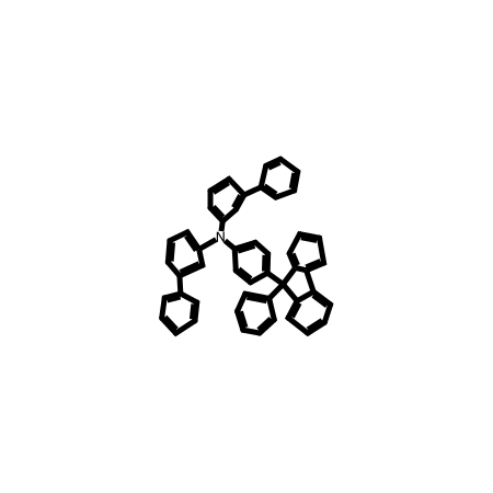 c1ccc(-c2cccc(N(c3ccc(C4(c5ccccc5)c5ccccc5-c5ccccc54)cc3)c3cccc(-c4ccccc4)c3)c2)cc1